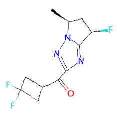 C[C@H]1C[C@@H](F)c2nc(C(=O)C3CC(F)(F)C3)nn21